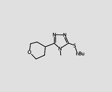 CCCCSc1nnc(C2CCOCC2)n1C